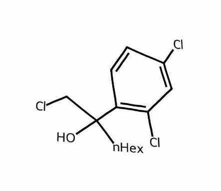 CCCCCCC(O)(CCl)c1ccc(Cl)cc1Cl